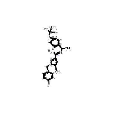 C=C(/N=C(\C)c1cc(C)n(Cc2ccc(I)cc2)n1)c1ccc(OC(C)(F)F)cc1